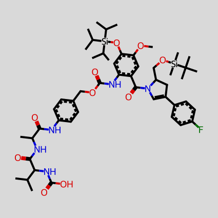 COc1cc(C(=O)N2C=C(c3ccc(F)cc3)CC2CO[Si](C)(C)C(C)(C)C)c(NC(=O)OCc2ccc(NC(=O)C(C)NC(=O)C(NC(=O)O)C(C)C)cc2)cc1O[Si](C(C)C)(C(C)C)C(C)C